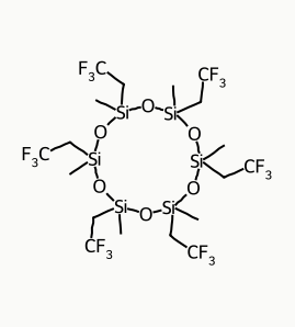 C[Si]1(CC(F)(F)F)O[Si](C)(CC(F)(F)F)O[Si](C)(CC(F)(F)F)O[Si](C)(CC(F)(F)F)O[Si](C)(CC(F)(F)F)O[Si](C)(CC(F)(F)F)O1